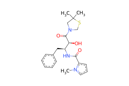 Cn1cccc1C(=O)N[C@@H](Cc1ccccc1)[C@H](O)C(=O)N1CSC(C)(C)C1